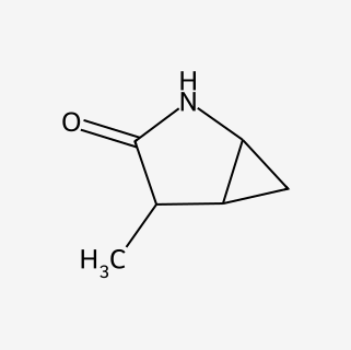 CC1C(=O)NC2CC21